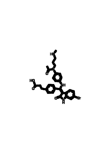 CNCCCN(C(C)=O)c1ccc(NC(=C2C(=O)Nc3cc(Br)ccc32)c2ccc(CCC(=O)O)cc2)cc1